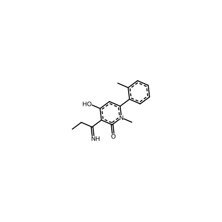 CCC(=N)c1c(O)cc(-c2ccccc2C)n(C)c1=O